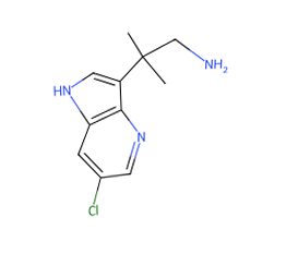 CC(C)(CN)c1c[nH]c2cc(Cl)cnc12